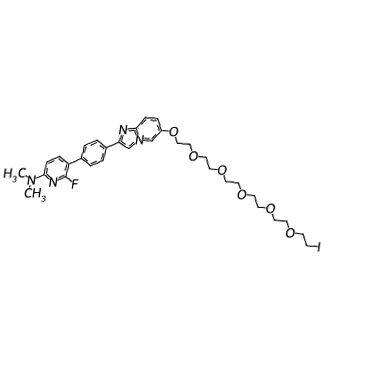 CN(C)c1ccc(-c2ccc(-c3cn4cc(OCCOCCOCCOCCOCCOCCI)ccc4n3)cc2)c(F)n1